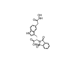 COC(=O)[C@H](Cc1c[nH]c2ccc(CC(=O)NO)cc12)N1C(=O)c2ccccc2C1=O